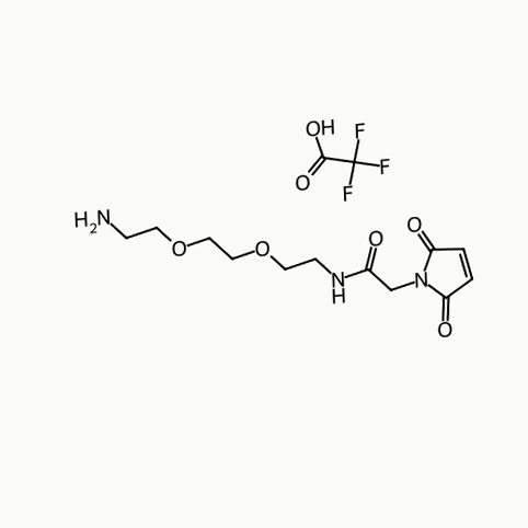 NCCOCCOCCNC(=O)CN1C(=O)C=CC1=O.O=C(O)C(F)(F)F